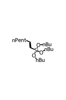 CCCCCC=C[Si](OCCCC)(OCCCC)OCCCC